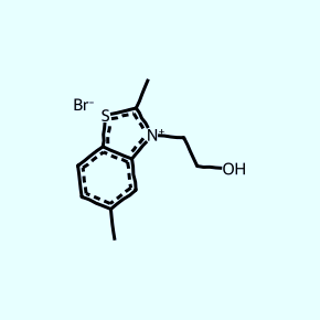 Cc1ccc2sc(C)[n+](CCO)c2c1.[Br-]